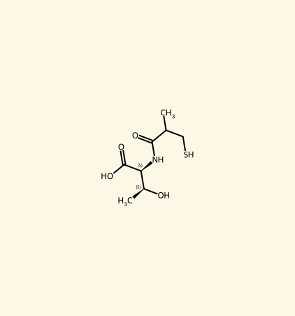 CC(CS)C(=O)N[C@H](C(=O)O)[C@H](C)O